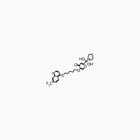 O=c1cc(C(O)(O)N2CCSCC2)occ1OCCCCCSc1ccnc2cc(C(F)(F)F)ccc12